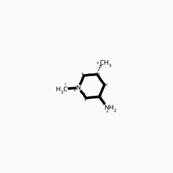 C[C@@H]1CC(N)CN(C)C1